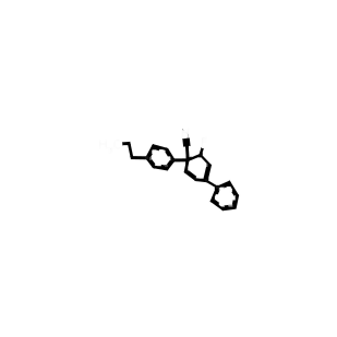 CCCc1ccc(C2(C#N)C=CC(c3ccccc3)=CC2F)cc1